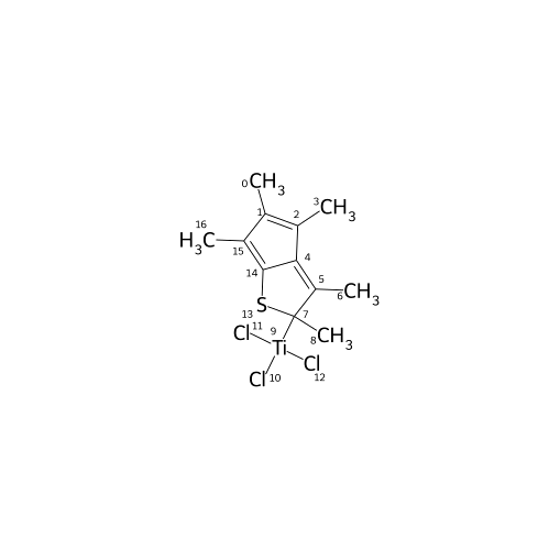 CC1=C(C)C2=C(C)[C](C)([Ti]([Cl])([Cl])[Cl])SC2=C1C